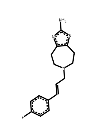 Nc1nc2c(s1)CCN(CC=Cc1ccc(F)cc1)CC2